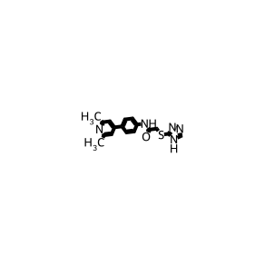 Cc1cc(-c2ccc(NC(=O)CSc3nnc[nH]3)cc2)cc(C)n1